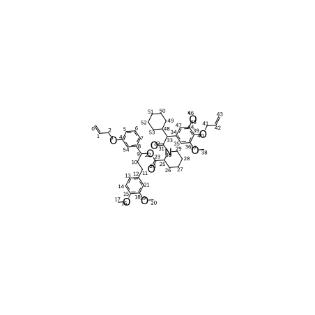 C=CCOc1cccc(C(CCc2ccc(OC)c(OC)c2)OC(=O)C2CCCCN2C(=O)C(c2cc(OC)c(OCC=C)c(OC)c2)C2CCCCC2)c1